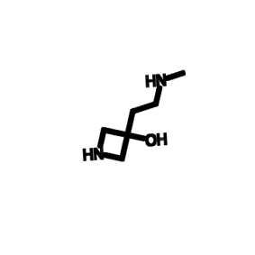 CNCCC1(O)CNC1